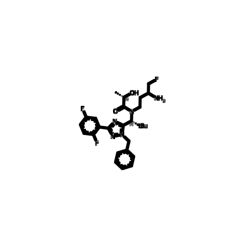 C[C@H](O)C(=O)N(CCC(N)CF)[C@@H](c1nc(-c2cc(F)ccc2F)nn1Cc1ccccc1)C(C)(C)C